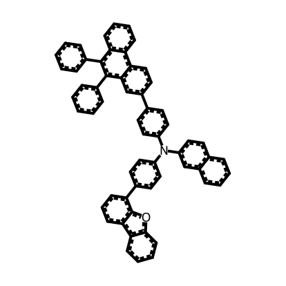 c1ccc(-c2c(-c3ccccc3)c3cc(-c4ccc(N(c5ccc(-c6cccc7c6oc6ccccc67)cc5)c5ccc6ccccc6c5)cc4)ccc3c3ccccc23)cc1